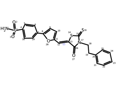 NS(=O)(=O)c1ccc(-c2ccc(/C=C3\SC(=S)N(CCc4ccccc4)C3=O)o2)cc1